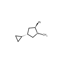 CC(C)[C@@H]1C[C@@H](C2CC2)CN1C